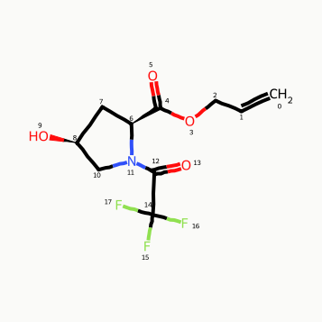 C=CCOC(=O)[C@@H]1C[C@H](O)CN1C(=O)C(F)(F)F